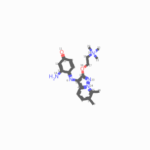 Cc1ccc2c(/N=C3\C=CC(=O)C=C3N)c(OCC[N+](C)(C)C)nn2c1C